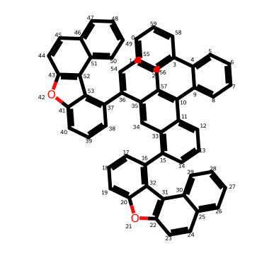 c1ccc(-c2ccccc2-c2c3cccc(-c4cccc5oc6ccc7ccccc7c6c45)c3cc3c(-c4cccc5oc6ccc7ccccc7c6c45)cccc23)cc1